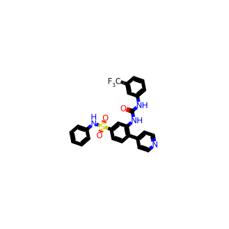 O=C(Nc1cccc(C(F)(F)F)c1)Nc1cc(S(=O)(=O)Nc2ccccc2)ccc1-c1ccncc1